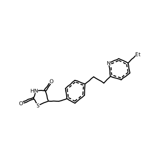 CCc1ccc(CCc2ccc(CC3SC(=O)NC3=O)cc2)nc1